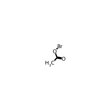 CC(=O)OBr